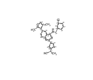 Cc1noc(C)c1-c1ccc2nc(-c3cnn(C(C)C#N)c3)nc(NCc3cccc(Cl)c3)c2c1